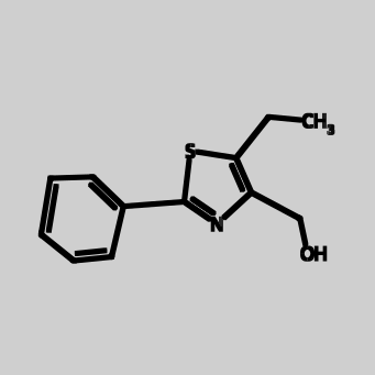 CCc1sc(-c2ccccc2)nc1CO